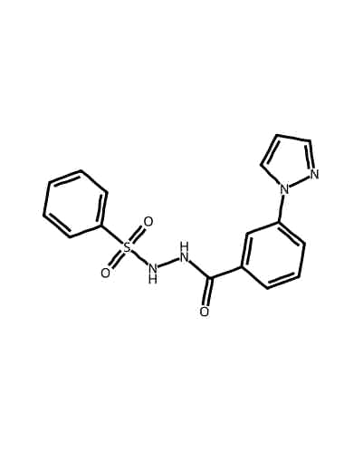 O=C(NNS(=O)(=O)c1ccccc1)c1cccc(-n2cccn2)c1